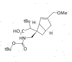 COCC1=C[C@H]2[C@@H](C1)C[C@]2(CNC(=O)OC(C)(C)C)C(C(=O)O)C(C)(C)C